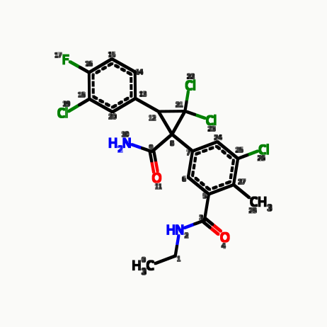 CCNC(=O)c1cc(C2(C(N)=O)C(c3ccc(F)c(Cl)c3)C2(Cl)Cl)cc(Cl)c1C